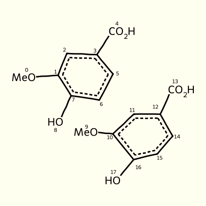 COc1cc(C(=O)O)ccc1O.COc1cc(C(=O)O)ccc1O